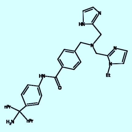 CCCC(N)(CCC)c1ccc(NC(=O)c2ccc(CN(Cc3ncc[nH]3)Cc3nccn3CC)cc2)cc1